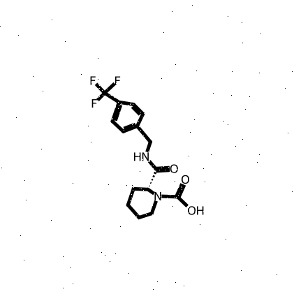 O=C(NCc1ccc(C(F)(F)F)cc1)[C@H]1CCCCN1C(=O)O